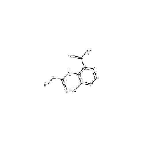 CCCC(=O)c1cccc(C)c1NC(=O)CBr